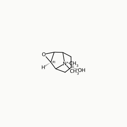 C[N+]1(C)C2C[C@H](O)CC1[C@H]1OC21